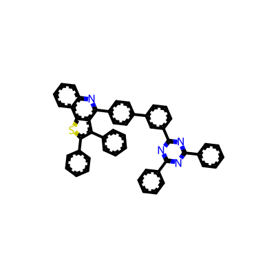 c1ccc(-c2nc(-c3ccccc3)nc(-c3cccc(-c4ccc(-c5nc6ccccc6c6sc(-c7ccccc7)c(-c7ccccc7)c56)cc4)c3)n2)cc1